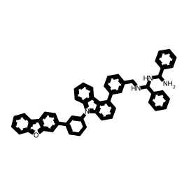 NC(NC(NCc1cccc(-c2cccc3c2c2ccccc2n3C2=CC(c3ccc4c(c3)oc3ccccc34)=CCC2)c1)c1ccccc1)c1ccccc1